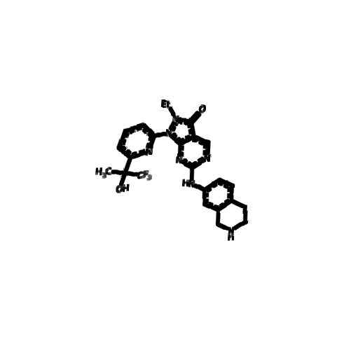 CCn1c(=O)c2cnc(Nc3ccc4c(c3)CNCC4)nc2n1-c1cccc(C(C)(O)C(F)(F)F)n1